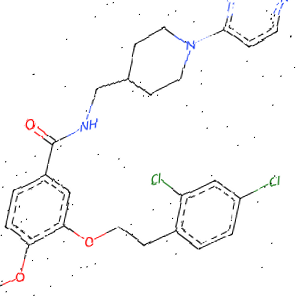 COc1ccc(C(=O)NCC2CCN(c3ccncn3)CC2)cc1OCCc1ccc(Cl)cc1Cl